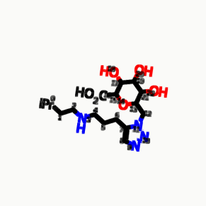 CC(C)CCNCCCc1cnnn1CC1OC(C(=O)O)C(O)C(O)C1O